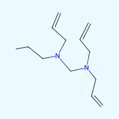 C=CCN(CC=C)CN(CC=C)CCC